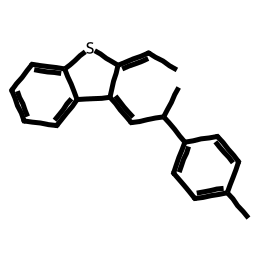 C/C=c1/sc2ccccc2/c1=C/C(C)c1ccc(C)cc1